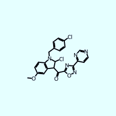 COc1ccc2c(c1)C(C(=O)c1nc(-c3ccncn3)no1)C(Cl)N2Cc1ccc(Cl)cc1